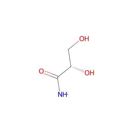 [NH]C(=O)[C@@H](O)CO